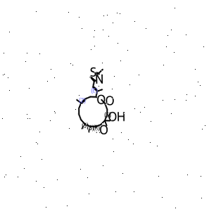 C/C1=C/CC(/C(C)=C/c2csc(C)n2)OC(=O)C[C@H](O)C(C)(C)C(=O)[C@H](C)[C@@H](C)[C@@H](C)CCC1